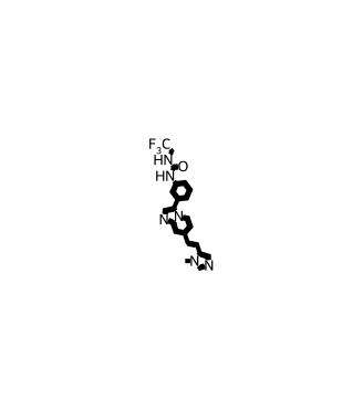 Cn1cncc1/C=C/c1ccn2c(-c3cccc(NC(=O)NCC(F)(F)F)c3)cnc2c1